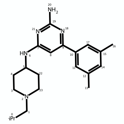 C[C](C)CN1CCC(Nc2cc(-c3cc(C)cc(C)c3)nc(N)n2)CC1